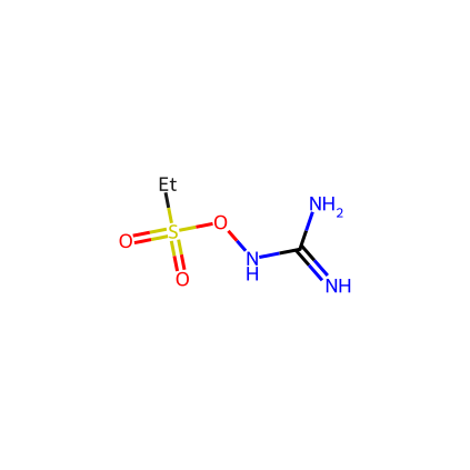 CCS(=O)(=O)ONC(=N)N